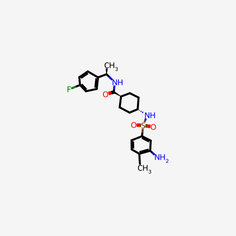 Cc1ccc(S(=O)(=O)N[C@H]2CC[C@H](C(=O)N[C@H](C)c3ccc(F)cc3)CC2)cc1N